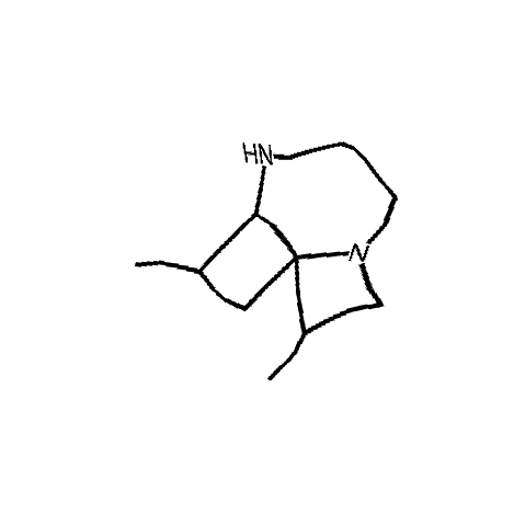 CC1CC23C(C)CN2CCNC13